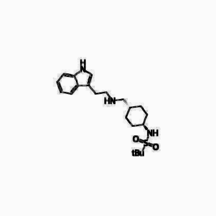 CC(C)(C)S(=O)(=O)N[C@H]1CC[C@H](CNCCc2c[nH]c3ccccc23)CC1